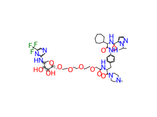 CC(C)n1nccc1C(=O)NC(C(=O)Nc1ccc(CC(NC(=O)COCCOCCOCCOC[C@H]2OC[C@H](Nc3cncc(C(F)(F)F)n3)[C@@H](O)[C@H]2O)C(=O)N2CCN(C)CC2)cc1)C1CCCCCC1